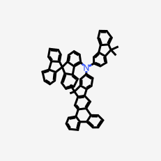 CC1(C)c2ccccc2-c2cc(N(c3ccc4c(c3)C(C)(C)c3cc5c6ccccc6c6ccccc6c5cc3-4)c3cccc4c3-c3ccccc3C43c4ccccc4-c4ccccc43)ccc21